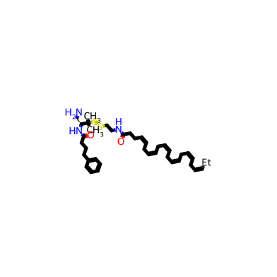 CC/C=C\C/C=C\C/C=C\C/C=C\C/C=C\C/C=C\CCC(=O)NCCSSC(C)(C)[C@@H](CN)NC(=O)CCCc1ccccc1